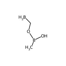 BCOB(C)O